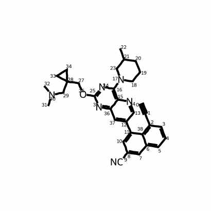 C#Cc1cccc2cc(C#N)cc(-c3cnc4c(N5CCCC(C)C5)nc(OCC5(CN(C)C)CC5)nc4c3)c12